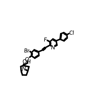 OC1CC2CCC(C1)N2CCOc1ccc(C#Cc2ncc(-c3ccc(Cl)cc3)cc2F)cc1Br